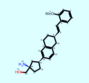 COc1ccccc1/C=C/[C@@H]1CCc2cc([C@H]3CC[C@](N)(CO)C3)ccc2C1